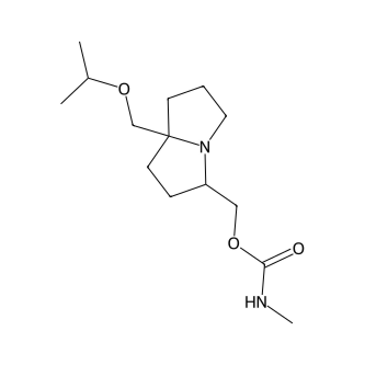 CNC(=O)OCC1CCC2(COC(C)C)CCCN12